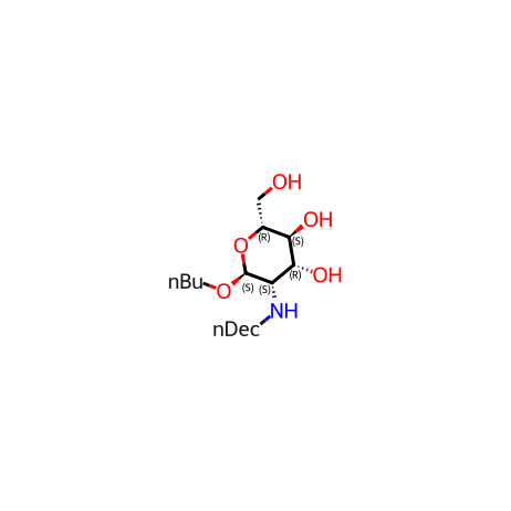 CCCCCCCCCCN[C@@H]1[C@@H](OCCCC)O[C@H](CO)[C@@H](O)[C@@H]1O